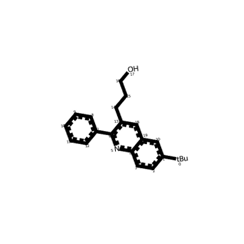 CC(C)(C)c1ccc2nc(-c3ccccc3)c(CCCO)cc2c1